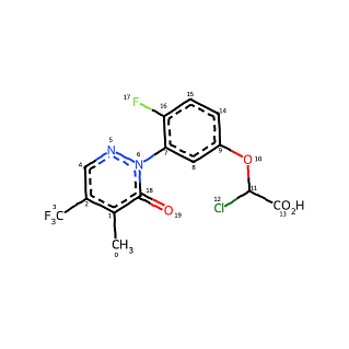 Cc1c(C(F)(F)F)cnn(-c2cc(OC(Cl)C(=O)O)ccc2F)c1=O